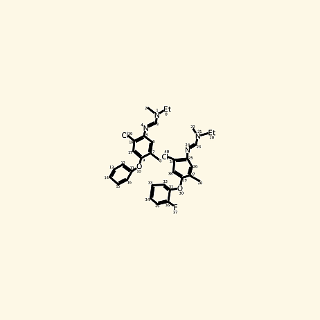 CCN(C)C=Nc1cc(C)c(Oc2ccccc2)cc1Cl.CCN(C)C=Nc1cc(C)c(Oc2ccccc2F)cc1Cl